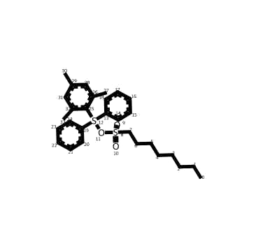 CCCCCCCCS(=O)(=O)OS(c1ccccc1)(c1ccccc1)c1c(C)cc(C)cc1C